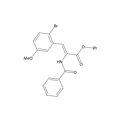 COc1ccc(Br)c(C=C(NC(=O)c2ccccc2)C(=O)OC(C)C)c1